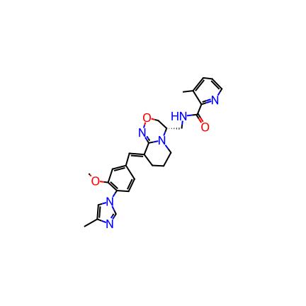 COc1cc(/C=C2\CCCN3C2=NOC[C@@H]3CNC(=O)c2ncccc2C)ccc1-n1cnc(C)c1